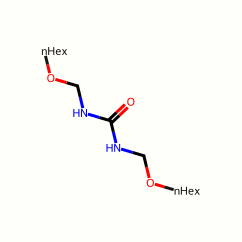 CCCCCCOCNC(=O)NCOCCCCCC